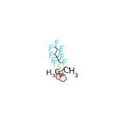 CC(SC(F)C(F)(F)C(F)(F)C(F)C(F)C(F)F)[Si]1(C)CCCCO1